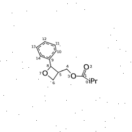 CC(C)C(=O)OCC1COC1c1ccccc1